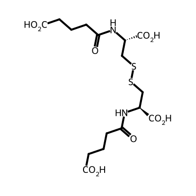 O=C(O)CCCC(=O)N[C@@H](CSSC[C@H](NC(=O)CCCC(=O)O)C(=O)O)C(=O)O